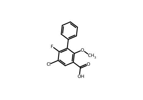 COc1c(C(=O)O)cc(Cl)c(F)c1-c1ccccc1